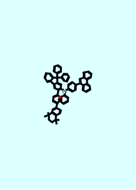 CC1(C)CCC(C)(C)c2cc(-c3ccc(-c4cc5c(cc4N(c4ccccc4)c4ccc(-c6cc7ccccc7c7ccccc67)cc4)C(c4ccccc4)(c4ccccc4)c4ccccc4-5)cc3)ccc21